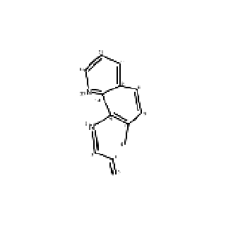 C=C/C=N\c1c(C)ccc2cccnc12